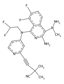 CN(N)c1c(N)nc(N(CC(F)F)c2ccnc(C#CC(C)(C)C#N)c2)c2c(F)c(F)ccc12